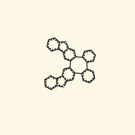 c1ccc2c(c1)-c1ccccc1-c1cc3sc4ccccc4c3cc1-c1cc3c(cc1-2)sc1ccccc13